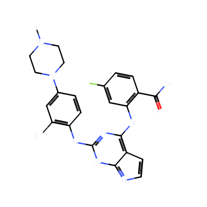 CCc1cc(N2CCN(C(C)C)CC2)ccc1Nc1nc(Nc2cc(F)ccc2C(N)=O)c2ccnc-2[nH]1